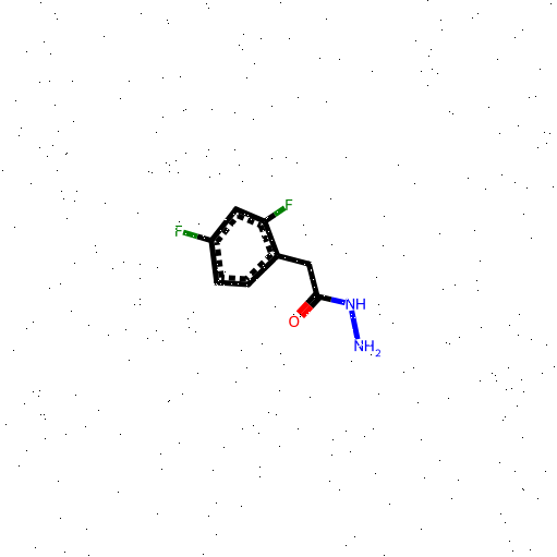 NNC(=O)Cc1ccc(F)cc1F